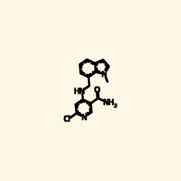 Cn1ccc2cccc(CNc3cc(Cl)ncc3C(N)=O)c21